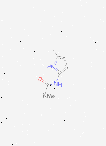 CNC(=O)Nc1ccc(C)[nH]1